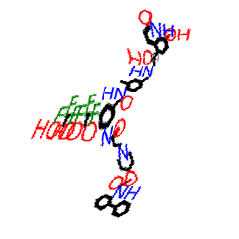 Cc1cc(CNC[C@H](O)c2ccc(O)c3[nH]c(=O)ccc23)ccc1NC(=O)c1cccc(N(C)C(=O)CCN2CCC(OC(=O)Nc3ccccc3-c3ccccc3)CC2)c1.O=C(O)C(F)(F)F.O=C(O)C(F)(F)F